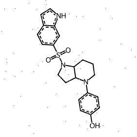 O=S(=O)(c1ccc2cc[nH]c2c1)N1CCC2C1CCCN2c1ccc(O)cc1